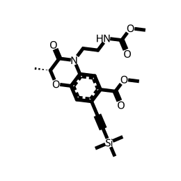 COC(=O)NCCN1C(=O)[C@@H](C)Oc2cc(C#C[Si](C)(C)C)c(C(=O)OC)cc21